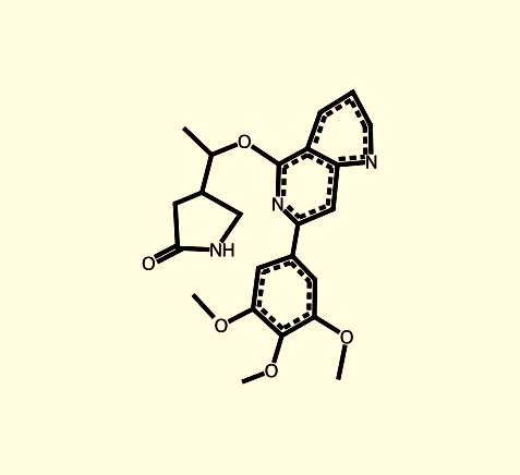 COc1cc(-c2cc3ncccc3c(OC(C)C3CNC(=O)C3)n2)cc(OC)c1OC